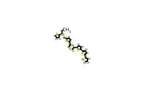 C/C=C(\SCc1ccc(C2=CSC=C(c3ccc(-c4ccc(-c5cccs5)s4)s3)S2)s1)c1cccs1